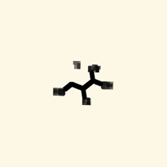 CCCC(O)C(CC)CO.[Ti]